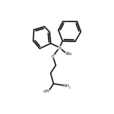 CCCC(N)CCO[Si](c1ccccc1)(c1ccccc1)C(C)(C)C